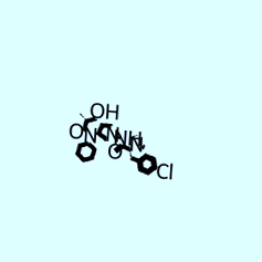 C[C@H](CO)C(=O)N(C1CCCCC1)[C@H]1CCN(NC(=O)[C@@H](Cc2ccc(Cl)cc2)N(C)C)C1